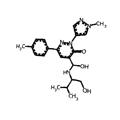 Cc1ccc(-c2cc(C(O)NC(CO)C(C)C)c(=O)n(-c3cnn(C)c3)n2)cc1